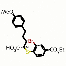 CCOC(=O)c1ccc(S[C@@H](CCCc2ccc(OC)cc2)C(=O)O)c(Br)c1